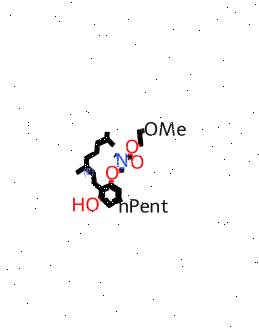 CCCCCc1cc(O)c(C/C=C(\C)CCC=C(C)C)c(OCN(C)C(=O)OCCOC)c1